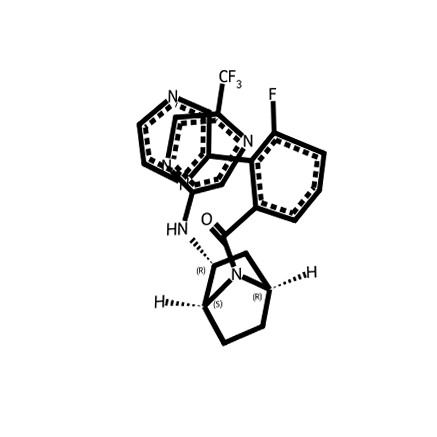 O=C(c1cccc(F)c1-c1cnccn1)N1[C@@H]2CC[C@H]1[C@H](Nc1cnc(C(F)(F)F)cn1)C2